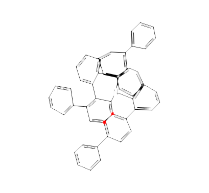 c1ccc(-c2ccc(-c3ccccc3N(c3cccc(-c4ccccc4)c3)c3cccc(-c4ccccc4)c3-c3ccccc3-c3ccccc3)cc2)cc1